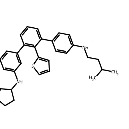 CC(C)CCNc1ccc(-c2cccc(-c3[c]ccc(NC4CCCC4)c3)c2-c2cccs2)cc1